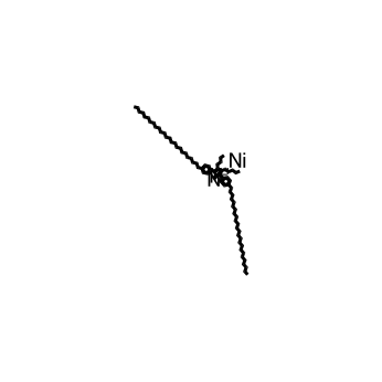 CCCCCCCCCCCCCCCCCCCCCCCCCc1ccc(C2=C(CCCC)C(CCCCC)=C(c3ccc(CCCCCCCCCCCCCCCCCCCCCCCCC)cc3)[N+]2=[N-])cc1.[Ni]